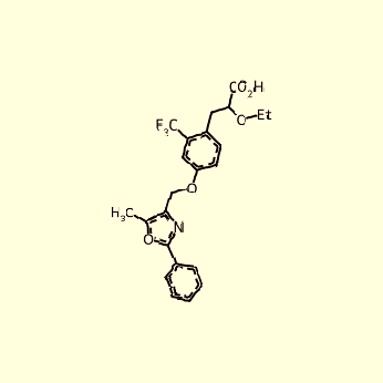 CCOC(Cc1ccc(OCc2nc(-c3ccccc3)oc2C)cc1C(F)(F)F)C(=O)O